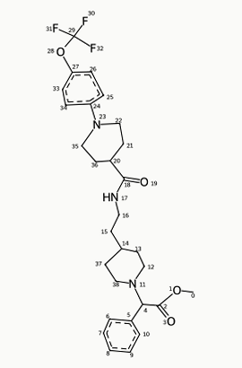 COC(=O)C(c1ccccc1)N1CCC(CCNC(=O)C2CCN(c3ccc(OC(F)(F)F)cc3)CC2)CC1